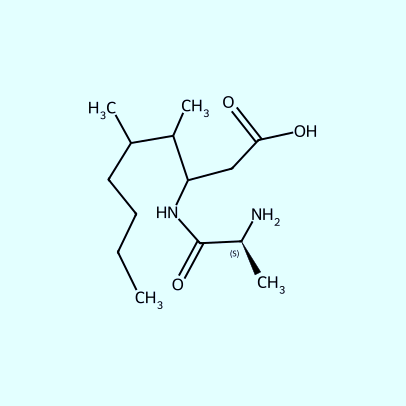 CCCCC(C)C(C)C(CC(=O)O)NC(=O)[C@H](C)N